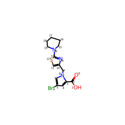 O=C(O)c1cc(Br)cn1Cc1csc(N2CCCCC2)n1